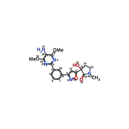 COc1nc(-c2cccc(-c3cc([C@]4(O)CCN(C)C4=O)on3)c2)nc(OC)c1N